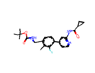 Cc1c(CNC(=O)OC(C)(C)C)ccc(-c2ccnc(NC(=O)C3CC3)c2)c1F